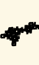 Cc1ccc(CCN2CCN(c3ccc(Cl)cc3Cl)[C@H](c3ccc(Cl)cc3)C2)cc1C